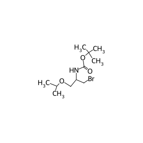 CC(C)OCC(CBr)NC(=O)OC(C)(C)C